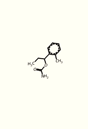 CCC(OC(N)=O)c1ccccc1C